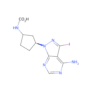 Nc1ncnc2c1c(I)nn2[C@H]1CCC(NC(=O)O)C1